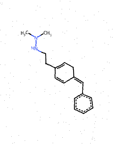 CN(C)NCCC1=CCC(=Cc2ccccc2)C=C1